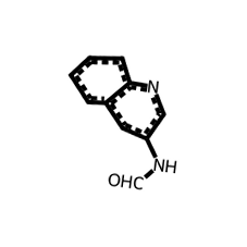 O=CNc1cnc2ccccc2c1